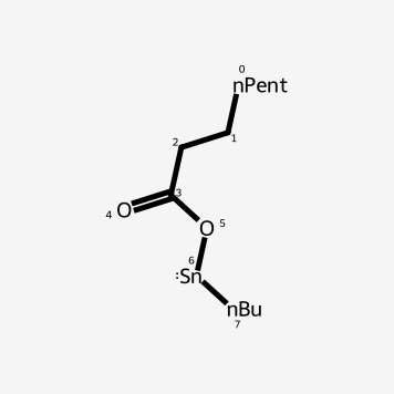 CCCCCCCC(=O)[O][Sn][CH2]CCC